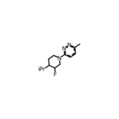 Cc1ccc(N2CCC(C(C)C)C(F)C2)nn1